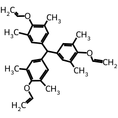 C=COc1c(C)cc(C(c2cc(C)c(OC=C)c(C)c2)c2cc(C)c(OC=C)c(C)c2)cc1C